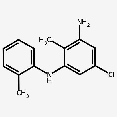 Cc1ccccc1Nc1cc(Cl)cc(N)c1C